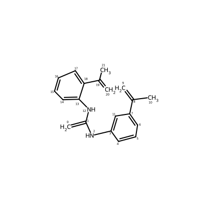 C=C(Nc1cccc(C(=C)C)c1)Nc1ccccc1C(=C)C